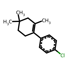 CC1=C(c2ccc(Cl)cc2)CCC(C)(C)C1